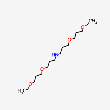 CCOCCCOCCCNCCCOCCCOCC